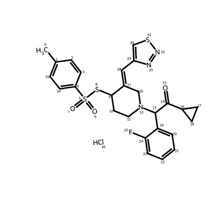 Cc1ccc(S(=O)(=O)SC2CCN(C(C(=O)C3CC3)c3ccccc3F)CC2=Cc2csnn2)cc1.Cl